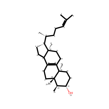 CC(C)=CCC[C@@H](C)[C@H]1CCC2C3=C(CC[C@@]21C)[C@@]1(C)CC[C@H](O)[C@@H](C)[C@@H]1CC3